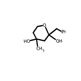 CC(C)CC1(O)CC(C)(O)CCO1